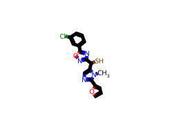 Cn1c(C(S)c2noc(-c3cccc(Cl)c3)n2)cnc1-c1ccco1